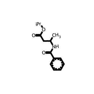 CC(CC(=O)OC(C)C)NC(=O)c1ccccc1